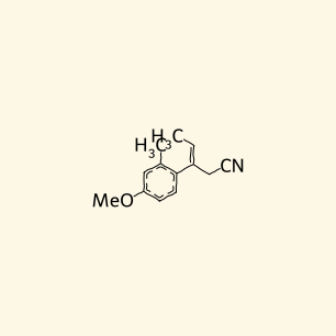 C/C=C(/CC#N)c1ccc(OC)cc1C